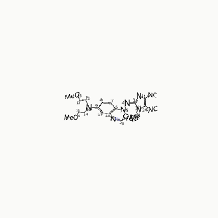 [C-]#[N+]c1nc(N=Nc2ccc(N(CCOC)CCOC)cc2/N=C\OC)n(CC)c1[N+]#[C-]